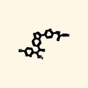 COC(=O)Nc1ccc(-c2cnc3ccc(C(=O)N(C)c4ccc(Cl)nn4)cn23)cn1